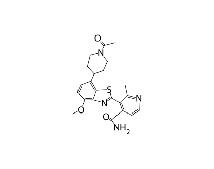 COc1ccc(C2CCN(C(C)=O)CC2)c2sc(-c3c(C(N)=O)ccnc3C)nc12